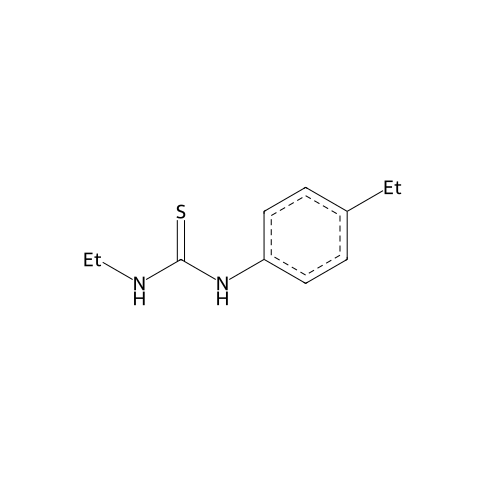 [CH2]Cc1ccc(NC(=S)NCC)cc1